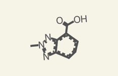 Cn1nc2cccc(C(=O)O)c2n1